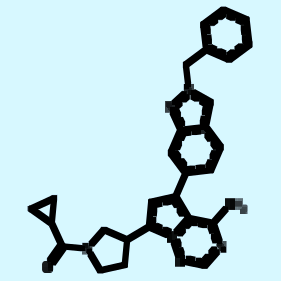 Nc1ncnn2c(C3CCN(C(=O)C4CC4)C3)cc(-c3ccc4cn(Cc5ccccc5)nc4c3)c12